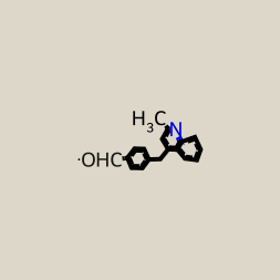 Cc1cc(Cc2ccc([C]=O)cc2)c2ccccc2n1